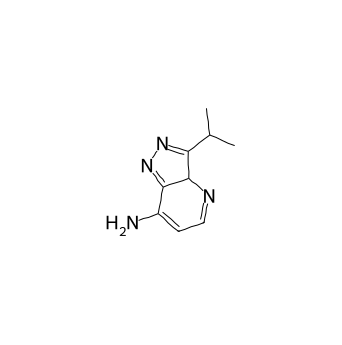 CC(C)C1=NN=C2C(N)=CC=NC21